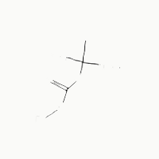 CCCCCCC(C)(CCCC)SC(=S)OCC